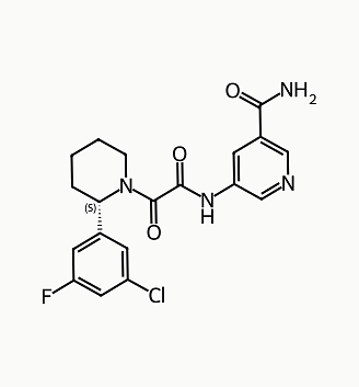 NC(=O)c1cncc(NC(=O)C(=O)N2CCCC[C@H]2c2cc(F)cc(Cl)c2)c1